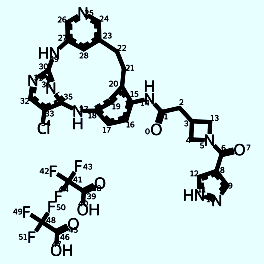 O=C(CC1CN(C(=O)c2cn[nH]c2)C1)Nc1ccc2cc1CCc1cncc(c1)Nc1ncc(Cl)c(n1)N2.O=C(O)C(F)(F)F.O=C(O)C(F)(F)F